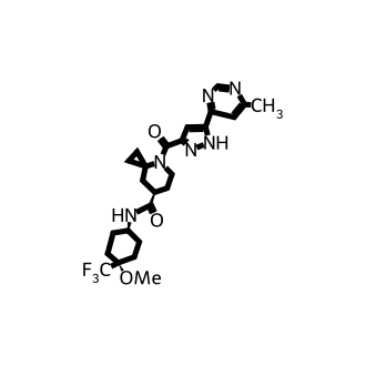 CO[C@]1(C(F)(F)F)CC[C@@H](NC(=O)[C@@H]2CCN(C(=O)c3cc(-c4cc(C)ncn4)[nH]n3)C3(CC3)C2)CC1